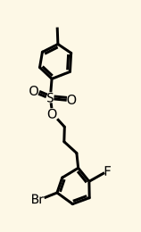 Cc1ccc(S(=O)(=O)OCCCc2cc(Br)ccc2F)cc1